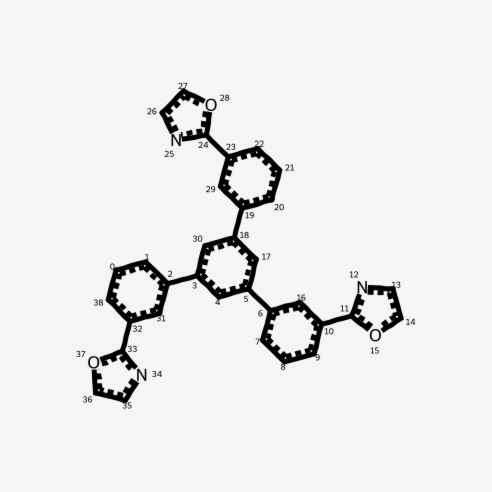 c1cc(-c2cc(-c3cccc(-c4ncco4)c3)cc(-c3cccc(-c4ncco4)c3)c2)cc(-c2ncco2)c1